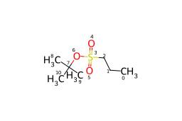 CCCS(=O)(=O)OC(C)(C)C